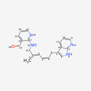 C/C(=C\C=C/Cc1c[nH]c2ncccc12)CNc1ncccc1C=O